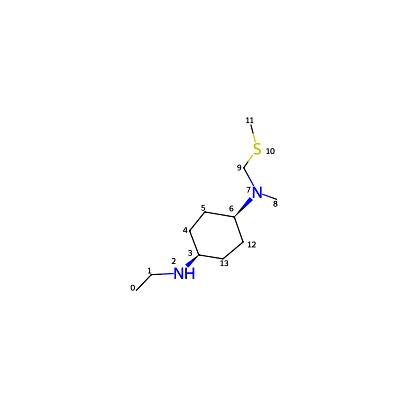 CCN[C@H]1CC[C@@H](N(C)CSC)CC1